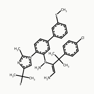 CSc1cccc(-c2ccc(-n3cc(C(C)(C)F)nc3C)c(N(N)/C(=C\N)C(C)(C)c3ccc(Cl)cc3)c2)c1